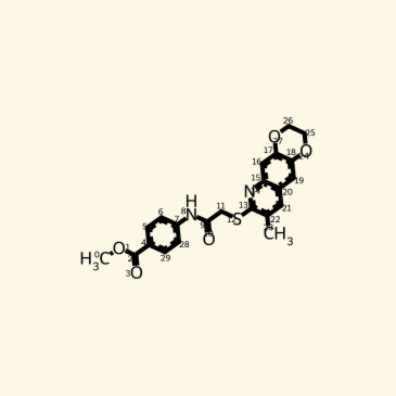 COC(=O)c1ccc(NC(=O)CSc2nc3cc4c(cc3cc2C)OCCO4)cc1